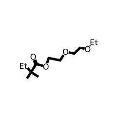 CCOCCOCCOC(=O)C(C)(C)CC